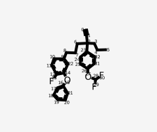 C#CC(CCC)(CCCc1ccc(F)c(Oc2ccccc2)c1)c1ccc(OC(F)F)cc1